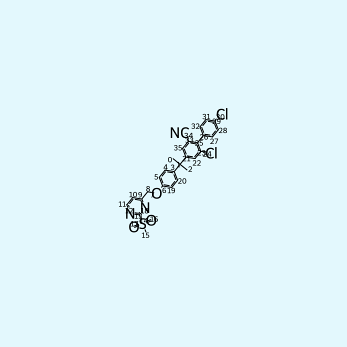 CC(C)(c1ccc(OCc2ccnc(S(C)(=O)=O)n2)cc1)c1cc(Cl)c(-c2ccc(Cl)cc2)c(C#N)c1